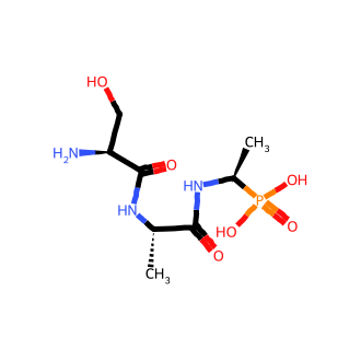 C[C@H](NC(=O)[C@@H](N)CO)C(=O)N[C@@H](C)P(=O)(O)O